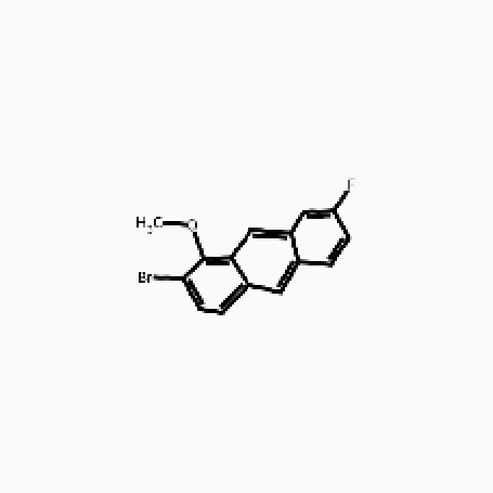 COc1c(Br)ccc2cc3ccc(F)cc3cc12